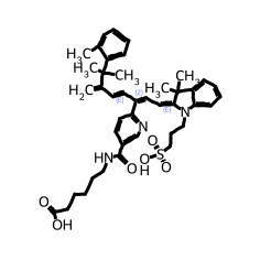 C=C(/C=C/C(=C/C=C1/N(CCCS(=O)(=O)O)c2ccccc2C1(C)C)c1ccc(C(=O)NCCCCCC(=O)O)cn1)C(C)(C)c1ccccc1C